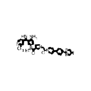 CCN(C(=O)C1CCN(CC(=O)N2CC=C(c3ccc(-c4ncc(F)cn4)cc3)CC2)C1)c1ccc(N)c(C(=N)c2ccnc(C(F)(F)F)c2)c1